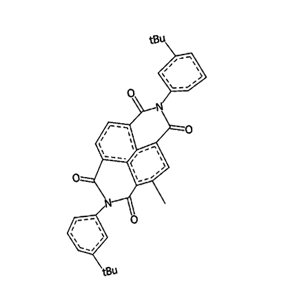 Cc1cc2c3c(ccc4c3c1C(=O)N(c1cccc(C(C)(C)C)c1)C4=O)C(=O)N(c1cccc(C(C)(C)C)c1)C2=O